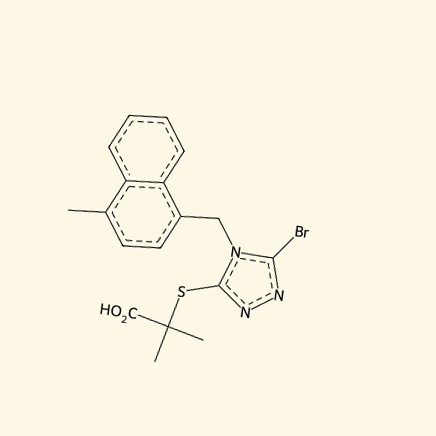 Cc1ccc(Cn2c(Br)nnc2SC(C)(C)C(=O)O)c2ccccc12